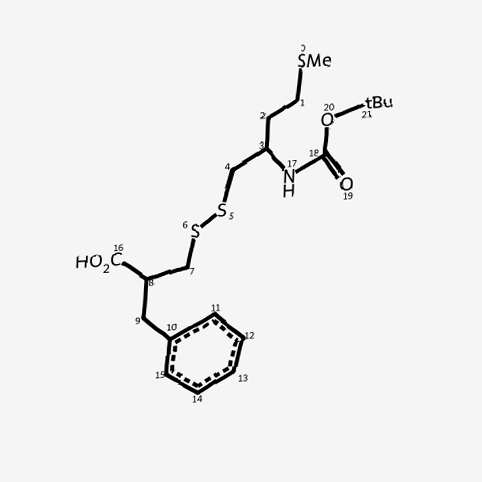 CSCCC(CSSCC(Cc1ccccc1)C(=O)O)NC(=O)OC(C)(C)C